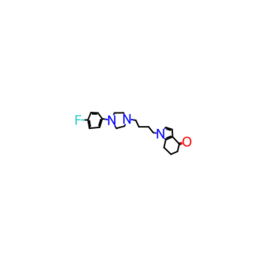 O=C1CCCc2c1ccn2CCCCN1CCN(c2ccc(F)cc2)CC1